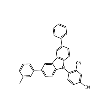 Cc1cccc(-c2ccc3c(c2)c2cc(-c4ccccc4)ccc2n3-c2ccc(C#N)cc2C#N)c1